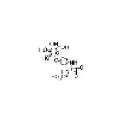 O=C(O)CNc1c(Nc2ccc(OC3OC(CO)C(O)[C@H](O)[C@H]3O)cc2)c(=O)c1=O